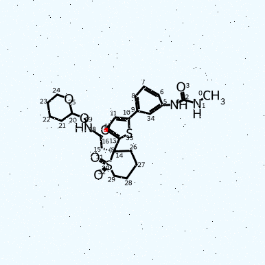 CNC(=O)Nc1cccc(-c2ccc([C@@]3(CC(=O)NOC4CCCCO4)CCCCS3(=O)=O)s2)c1